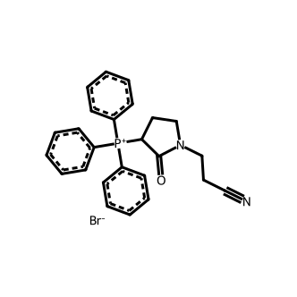 N#CCCN1CCC([P+](c2ccccc2)(c2ccccc2)c2ccccc2)C1=O.[Br-]